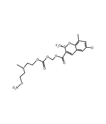 Cc1cc(Cl)cc2c1O[C@H](C(F)(F)F)C(C(=O)OCOC(=O)OCCN(C)CCO[N+](=O)[O-])=C2